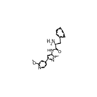 COc1cc(-c2cc(NC(=O)C(N)Cc3ccccc3)n(C)n2)ccn1